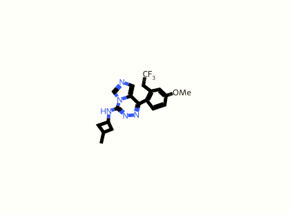 COc1ccc(-c2nnc(NC3CC(C)C3)n3cncc23)c(CC(F)(F)F)c1